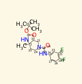 CC1(NC(=O)OC(C)(C)C)CCN(C(=O)Nc2ccc(F)c(F)c2)CC1